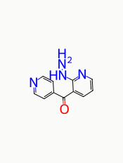 NNc1ncccc1C(=O)c1ccncc1